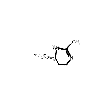 CC1=NCC[C@H](C(=O)O)N1